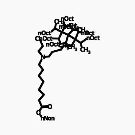 CCCCCCCCCOC(=O)CCCCCCCN(CCCl)CCCCCC(C(C)CCCCCCCC)(C(C)CCCCCCCC)C(C(C)CCCCCCCC)(C(C)CCCCCCCC)C(C(C)CCCCCCCC)(C(C)CCCCCCCC)C(C)CCCCCCCC